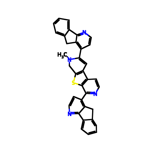 CN1Cc2sc3c(-c4ccnc5c4Cc4ccccc4-5)nccc3c2C=C1c1ccnc2c1Cc1ccccc1-2